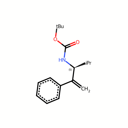 C=C(c1ccccc1)[C@@H](NC(=O)OC(C)(C)C)C(C)C